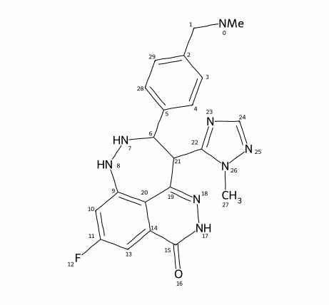 CNCc1ccc(C2NNc3cc(F)cc4c(=O)[nH]nc(c34)C2c2ncnn2C)cc1